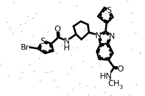 CNC(=O)c1ccc2c(c1)nc(-c1ccsc1)n2C1CCCC(NC(=O)c2ccc(Br)s2)C1